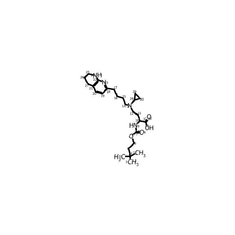 CC(C)(C)CCOC(=O)NC(CCN(CCCCc1ccc2c(n1)NCCC2)C1CC1)C(=O)O